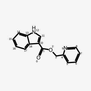 O=C(OCc1ccccn1)c1c[nH]c2ccccc12